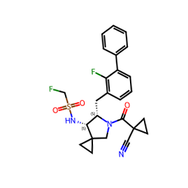 N#CC1(C(=O)N2CC3(CC3)[C@H](NS(=O)(=O)CF)[C@@H]2Cc2cccc(-c3ccccc3)c2F)CC1